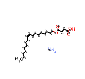 CCCCCCCC/C=C\CCCCCCCCOC(=O)CCC(=O)O.N